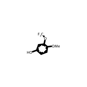 COc1ccc(O)cc1OC(F)(F)F